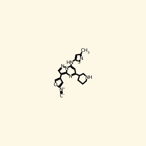 [C-]#[N+]c1cc(-c2cnn3c(Nc4cc(C)ns4)cc(C4CCCNC4)nc23)co1